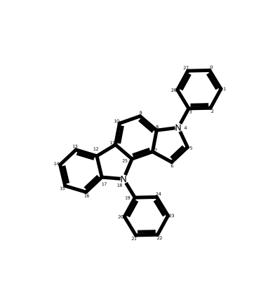 c1ccc(-n2ccc3c2ccc2c4ccccc4n(-c4ccccc4)c23)cc1